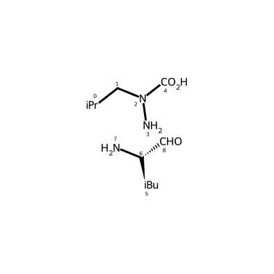 CC(C)CN(N)C(=O)O.CC[C@H](C)[C@H](N)C=O